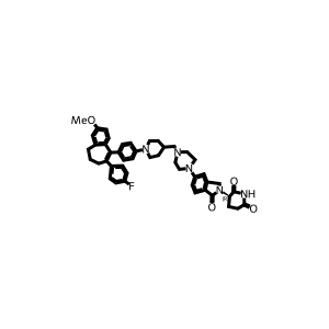 COc1ccc2c(c1)CCCC(c1ccc(F)cc1)=C2c1ccc(N2CCC(CN3CCN(c4ccc5c(c4)CN([C@@H]4CCC(=O)NC4=O)C5=O)CC3)CC2)cc1